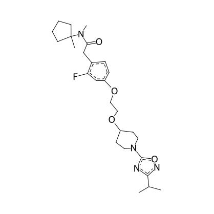 CC(C)c1noc(N2CCC(OCCOc3ccc(CC(=O)N(C)C4(C)CCCC4)c(F)c3)CC2)n1